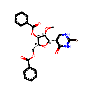 CO[C@@H]1[C@H](OC(=O)c2ccccc2)[C@@H](COC(=O)c2ccccc2)O[C@H]1c1c[nH]c(=S)[nH]c1=O